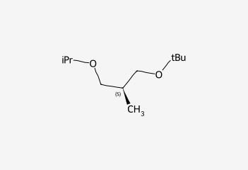 CC(C)OC[C@H](C)COC(C)(C)C